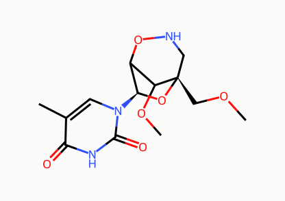 COC[C@]12CNOC(C1OC)[C@H](n1cc(C)c(=O)[nH]c1=O)O2